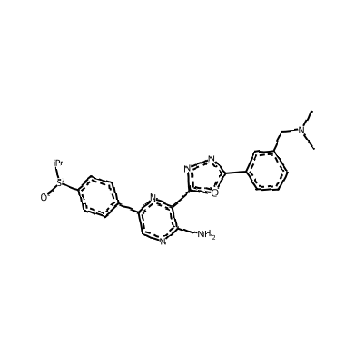 CC(C)[S+]([O-])c1ccc(-c2cnc(N)c(-c3nnc(-c4cccc(CN(C)C)c4)o3)n2)cc1